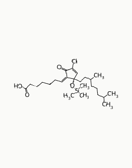 CC(C)CCCC(C)CCC1(O[Si](C)(C)C)C=C(Cl)C(=O)C1=CCCCCCC(=O)O